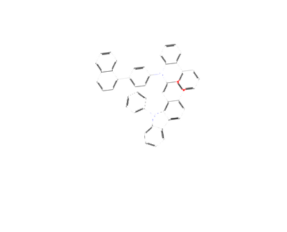 c1ccc(-c2ccccc2N(c2ccc(-c3cccc4ccccc34)cc2)c2ccc3ccc4c5ccccc5n(-c5ccccc5)c4c3c2)cc1